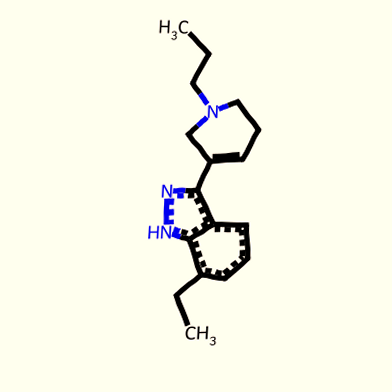 CCCN1CCC=C(c2n[nH]c3c(CC)cccc23)C1